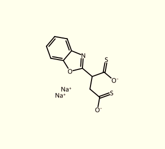 [Na+].[Na+].[O-]C(=S)CC(C([O-])=S)c1nc2ccccc2o1